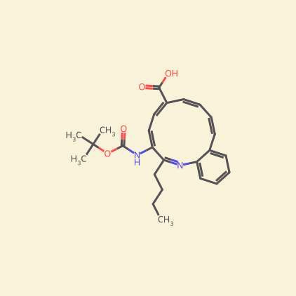 CCCCC1=Nc2ccccc2/C=C\C=C/C(C(=O)O)=CC=C1NC(=O)OC(C)(C)C